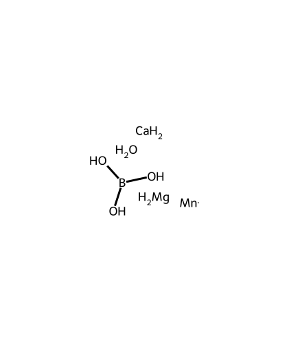 O.OB(O)O.[CaH2].[MgH2].[Mn]